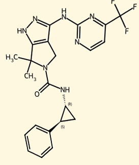 CC1(C)c2[nH]nc(Nc3nccc(C(F)(F)F)n3)c2CN1C(=O)N[C@@H]1C[C@H]1c1ccccc1